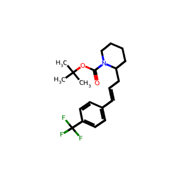 CC(C)(C)OC(=O)N1CCCCC1CC=Cc1ccc(C(F)(F)F)cc1